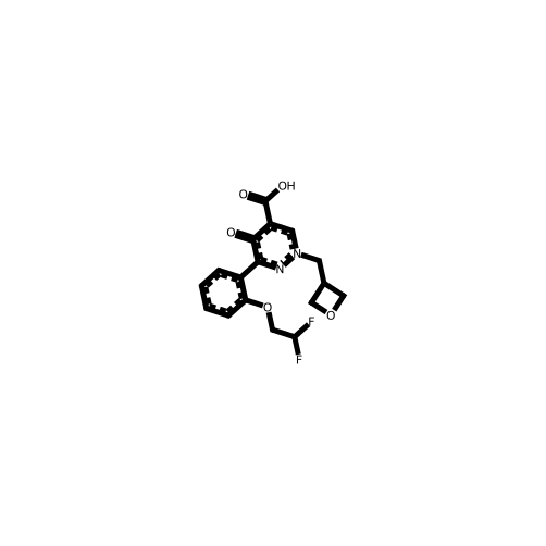 O=C(O)c1cn(CC2COC2)nc(-c2ccccc2OCC(F)F)c1=O